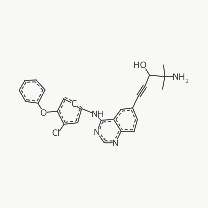 CC(C)(N)C(O)C#Cc1ccc2ncnc(Nc3ccc(Oc4ccccc4)c(Cl)c3)c2c1